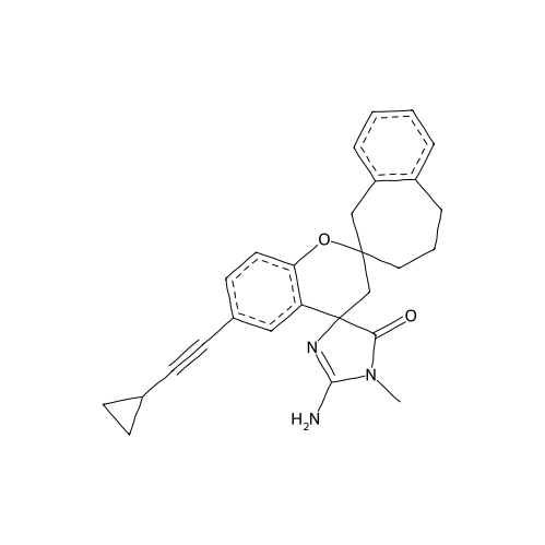 CN1C(=O)C2(CC3(CCCc4ccccc4C3)Oc3ccc(C#CC4CC4)cc32)N=C1N